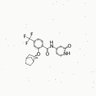 O=C(Nc1cc[nH]c(=O)c1)c1ccc(C(F)(F)F)cc1O[C@@H]1CC2CCC1C2